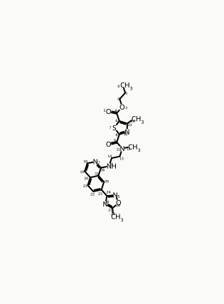 CCCOC(=O)c1sc(C(=O)N(C)CCNc2nccc3ccc(-c4noc(C)n4)cc23)nc1C